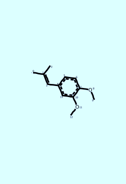 [CH2]C(C)=Cc1ccc(OC)c(OC)c1